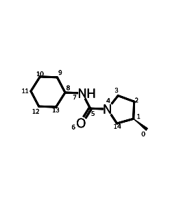 C[C@@H]1CCN(C(=O)NC2CCCCC2)C1